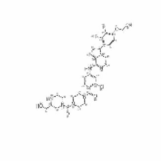 N#CCOc1ccc(-c2cnc3c(Nc4ccc(C(=O)N5CCN(C(=O)N6CCN[C@H](CO)C6)CC5)c(Cl)c4)nccn23)c(F)c1F